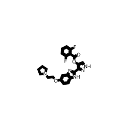 O=C(Oc1c[nH]nc1-c1nc2cc(OCCN3CCCC3)ccc2[nH]1)c1c(F)cccc1F